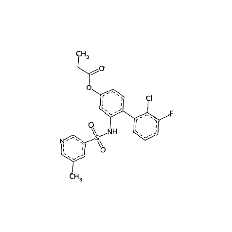 CCC(=O)Oc1ccc(-c2cccc(F)c2Cl)c(NS(=O)(=O)c2cncc(C)c2)c1